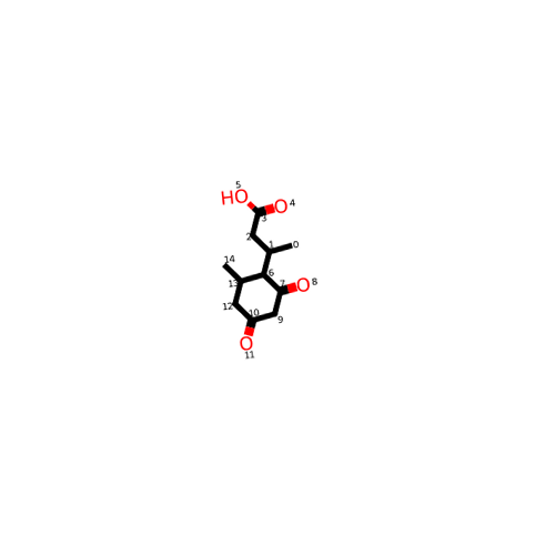 CC(CC(=O)O)C1C(=O)CC(=O)CC1C